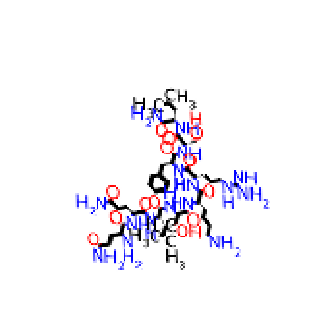 CC(C)C[C@H](NC(=O)[C@H](CO)NC(=O)[C@H](Cc1ccccc1)NC(=O)[C@H](CCCNC(=N)N)NC(=O)[C@H](CCCCN)NC(=O)[C@@H](NC(=O)[C@H](CC(C)C)NC(=O)[C@H](CCC(N)=O)NC(=O)[C@@H](N)CCC(N)=O)[C@@H](C)O)C(N)=O